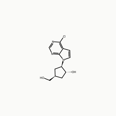 OC[C@@H]1C[C@@H](O)[C@H](n2ccc3c(Cl)ncnc32)C1